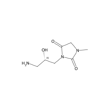 CN1CC(=O)N(C[C@@H](O)CN)C1=O